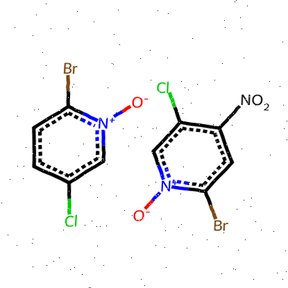 O=[N+]([O-])c1cc(Br)[n+]([O-])cc1Cl.[O-][n+]1cc(Cl)ccc1Br